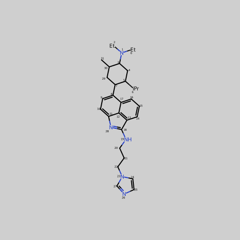 CCN(CC)C1CC(C(C)C)C(c2ccc3c4c(cccc24)C(NCCCn2ccnc2)=N3)CC1C